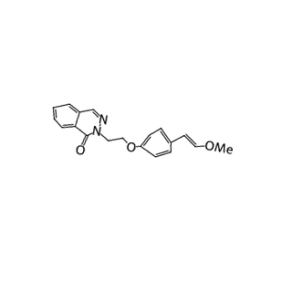 COC=Cc1ccc(OCCn2ncc3ccccc3c2=O)cc1